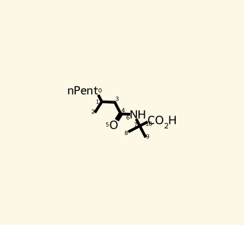 CCCCCC(C)CC(=O)NC(C)(C)C(=O)O